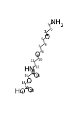 NCCCOCCCCOCCCNC(=O)COCC(=O)O